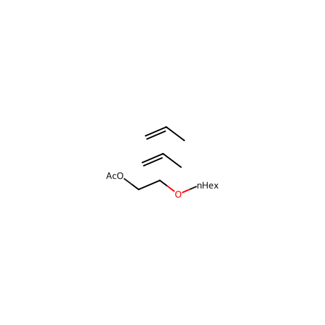 C=CC.C=CC.CCCCCCOCCOC(C)=O